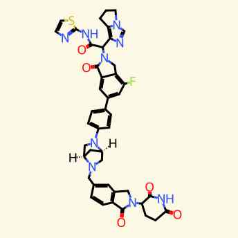 O=C1CCC(N2Cc3cc(CN4C[C@H]5C[C@@H]4CN5c4ccc(-c5cc(F)c6c(c5)C(=O)N(C(C(=O)Nc5nccs5)c5ncn7c5CCC7)C6)cc4)ccc3C2=O)C(=O)N1